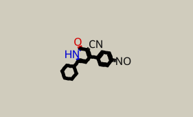 N#Cc1c(-c2ccc(N=O)cc2)cc(C2CCCCC2)[nH]c1=O